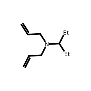 C=CCN(CC=C)C(CC)CC